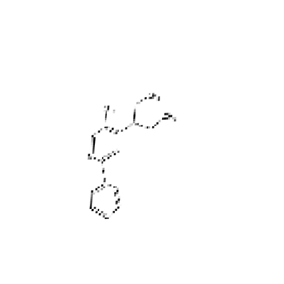 CCC(CC)c1cc(-c2ccccc2)ncc1C